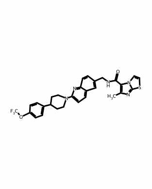 Cc1nc2sccn2c1C(=O)NCc1ccc2nc(N3CCC(c4ccc(OC(F)(F)F)cc4)CC3)ccc2c1